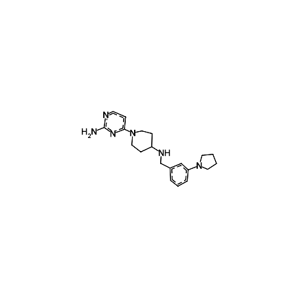 Nc1nccc(N2CCC(NCc3cccc(N4CCCC4)c3)CC2)n1